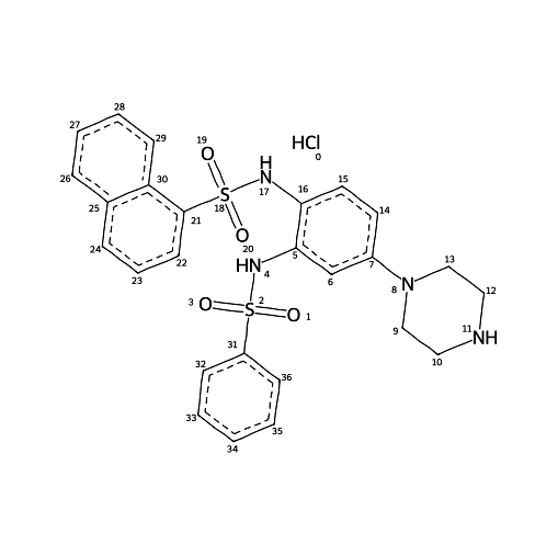 Cl.O=S(=O)(Nc1cc(N2CCNCC2)ccc1NS(=O)(=O)c1cccc2ccccc12)c1ccccc1